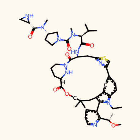 CCn1c(-c2cccnc2[C@H](C)OC)c2c3cc(ccc31)-c1csc(n1)C[C@H](NC(=O)[C@H](C(C)C)N(C)C(=O)N1CC[C@H](N(C)C(=O)[C@@H]3CN3)C1)C(=O)N1CCC[C@H](N1)C(=O)OCC(C)(C)C2